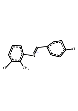 Cc1c(Cl)cccc1/N=C/c1ccc(Cl)cc1